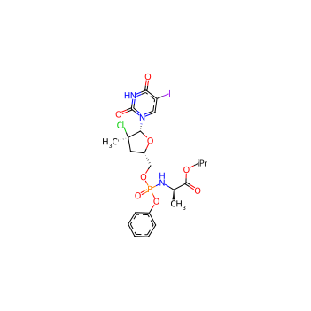 CC(C)OC(=O)[C@@H](C)NP(=O)(OC[C@@H]1C[C@@](C)(Cl)[C@H](n2cc(I)c(=O)[nH]c2=O)O1)Oc1ccccc1